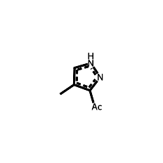 CC(=O)c1n[nH]cc1C